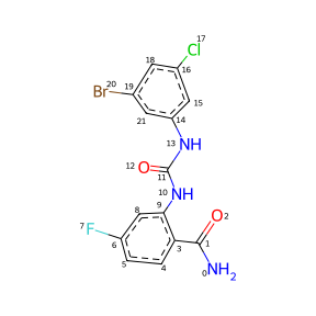 NC(=O)c1ccc(F)cc1NC(=O)Nc1cc(Cl)cc(Br)c1